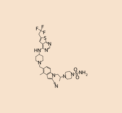 Cc1c(CN2CCC(Nc3ncnc4sc(CC(F)(F)F)cc34)CC2)ccc2c1cc(C#N)n2CC(C)N1CCN(S(N)(=O)=O)CC1